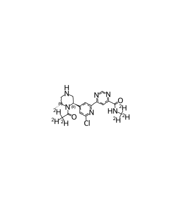 [2H]C([2H])([2H])NC(=O)c1cc(-c2cc([C@@H]3CNC[C@@H](C)N3C(=O)C([2H])([2H])[2H])cc(Cl)n2)ncn1